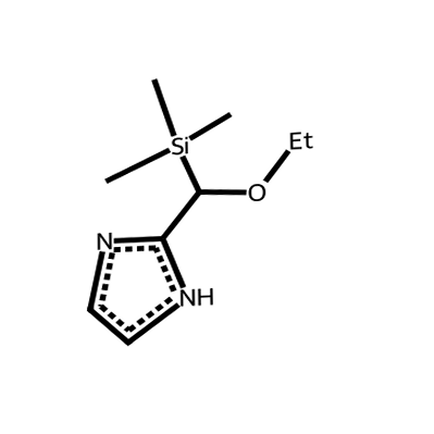 CCOC(c1ncc[nH]1)[Si](C)(C)C